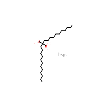 CCCCCCCCCCCCC(CCCCCCCCCCC)(C(=O)[O-])C(=O)[O-].[Na+].[Na+]